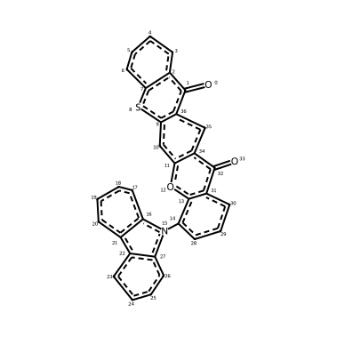 O=c1c2ccccc2sc2cc3oc4c(-n5c6ccccc6c6ccccc65)cccc4c(=O)c3cc12